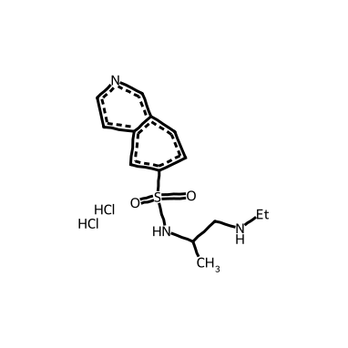 CCNCC(C)NS(=O)(=O)c1ccc2cnccc2c1.Cl.Cl